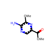 COC(=O)c1cnc(N)c(OC)n1